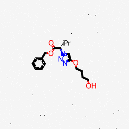 CC(C)[C@@H](C(=O)OCc1ccccc1)n1cc(OCCCCO)nn1